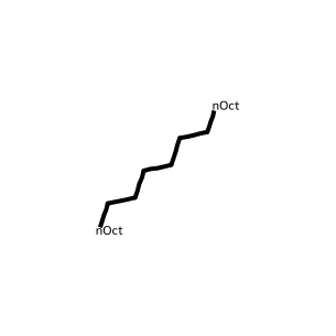 [CH2]CCCCCCCCCCCCCCCCCCC[CH]C